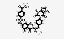 CCNC(=O)c1ccc(S(=O)(=O)Nc2cc(F)c(C(=O)N[C@@H](Cc3ccc(-n4c(=O)c5c(ncn5C)n(C)c4=O)cc3)C(=O)O)c(F)c2)cc1